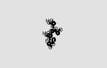 O=Cc1ccc(F)cc1C(=O)N1CCCC[C@H]1COc1ccc(C2CN(C(=O)c3ccccc3C=O)[C@H](COc3cccc(O)c3C=O)CO2)c(O)c1C=O